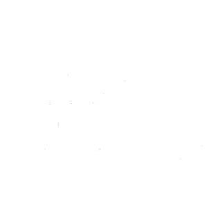 CCC[CH2][SnH].O=C(O)C(O)C(O)C(O)C(O)C(O)C(O)CO.O=C(O)C(O)C(O)C(O)C(O)C(O)C(O)CO.O=C(O)C(O)C(O)C(O)C(O)C(O)C(O)CO